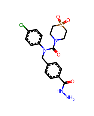 NNC(=O)c1ccc(CN(C(=O)N2CCS(=O)(=O)CC2)c2ccc(Cl)cc2)cc1